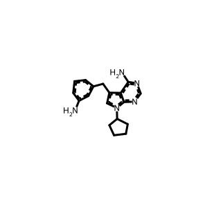 Nc1cccc(Cc2cn(C3CCCC3)c3ncnc(N)c23)c1